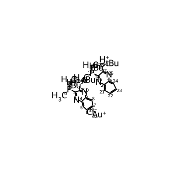 C[PH+](c1nc2ccccc2nc1[PH+](C)C(C)(C)C)C(C)(C)C.C[PH+](c1nc2ccccc2nc1[PH+](C)C(C)(C)C)C(C)(C)C.[Au+].[Cl-]